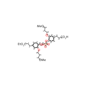 CCOC(=O)CCc1ccc(O)c(OCCCOC)c1.COCCCOc1cc(CCC(=O)O)ccc1OS(=O)(=O)C(F)(F)F